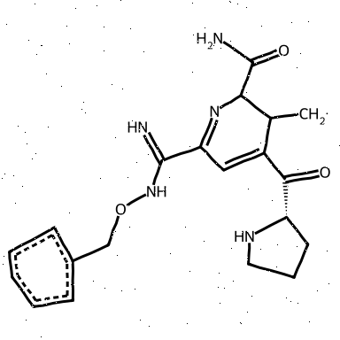 [CH2]C1C(C(=O)[C@@H]2CCCN2)=CC(C(=N)NOCc2ccccc2)=NC1C(N)=O